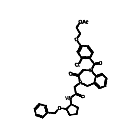 CC(=O)OCCOc1ccc(C(=O)N2CC(=O)N(CC(=O)NC3CCCC3OCc3ccccc3)Cc3ccccc32)c(Cl)c1